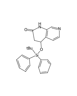 CC(C)(C)[Si](OC1CC(=O)Nc2cnccc21)(c1ccccc1)c1ccccc1